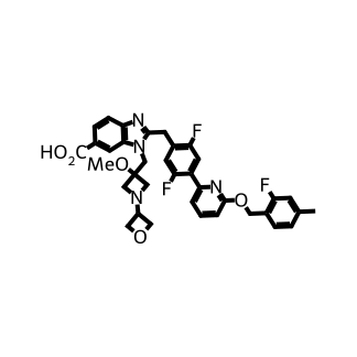 COC1(Cn2c(Cc3cc(F)c(-c4cccc(OCc5ccc(C)cc5F)n4)cc3F)nc3ccc(C(=O)O)cc32)CN(C2COC2)C1